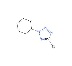 CCc1nnn(C2CCCCC2)n1